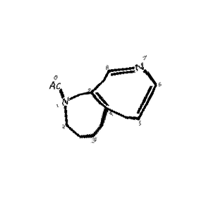 CC(=O)N1CCc2ccncc21